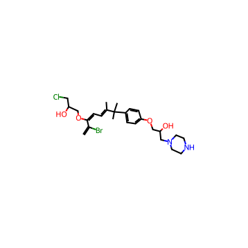 C=C(Br)/C(=C\C=C(/C)C(C)(C)c1ccc(OCC(O)CN2CCNCC2)cc1)OCC(O)CCl